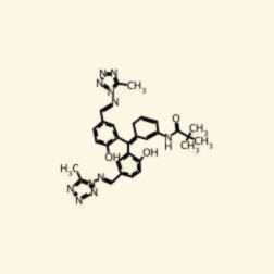 Cc1nnnn1N=Cc1ccc(O)c(C(=C2C=C(NC(=O)C(C)(C)C)C=CC2)c2cc(C=Nn3nnnc3C)ccc2O)c1